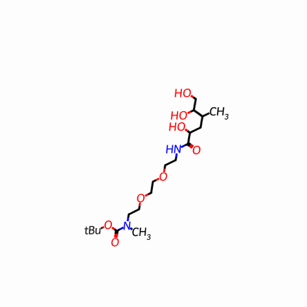 CC(CC(O)C(=O)NCCOCCOCCN(C)C(=O)OC(C)(C)C)C(O)CO